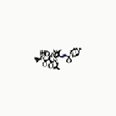 Cc1nn2c(O)c(C(=O)NC3CC3)c(=O)n(CC(C)C)c2c1/C=C/C(=O)N1CCN(C)CC1